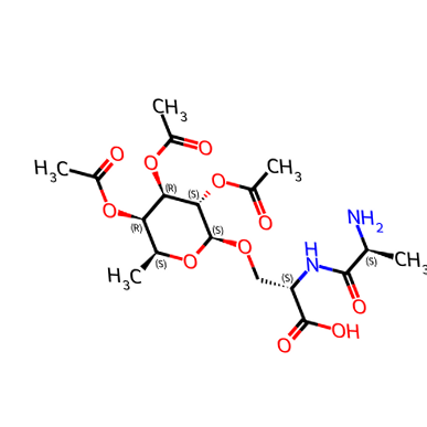 CC(=O)O[C@H]1[C@H](OC(C)=O)[C@@H](OC[C@H](NC(=O)[C@H](C)N)C(=O)O)O[C@@H](C)[C@H]1OC(C)=O